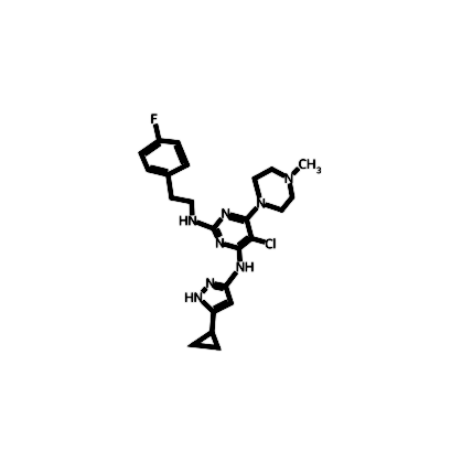 CN1CCN(c2nc(NCCc3ccc(F)cc3)nc(Nc3cc(C4CC4)[nH]n3)c2Cl)CC1